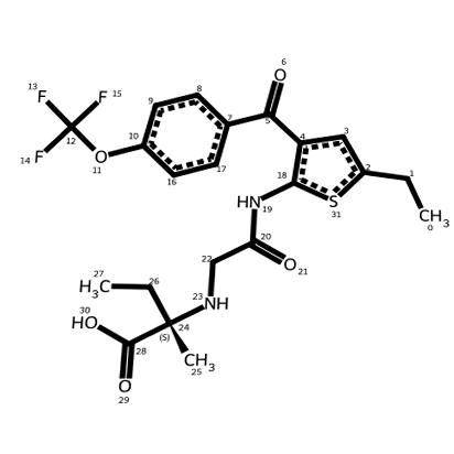 CCc1cc(C(=O)c2ccc(OC(F)(F)F)cc2)c(NC(=O)CN[C@@](C)(CC)C(=O)O)s1